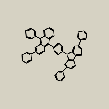 c1ccc(-c2ccc3c(-c4ccc(-n5c6cc(-c7ccccc7)ccc6c6ccc(-c7ccccc7)cc65)cc4)c4ccccc4c(-c4ccccc4)c3c2)cc1